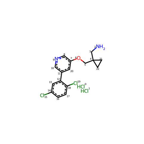 Cl.Cl.NCC1(COc2cncc(-c3cc(Cl)ccc3Cl)c2)CC1